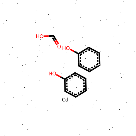 O=CO.Oc1ccccc1.Oc1ccccc1.[Cd]